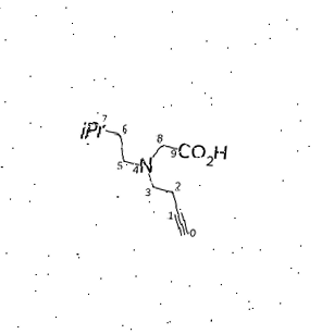 C#CCCN(CCC(C)C)CC(=O)O